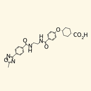 Cc1nc(-c2ccc(C(=O)NCCNC(=O)c3ccc(O[C@H]4CC[C@@H](C(=O)O)CC4)cc3)cc2)no1